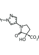 CC(C)n1cc(N2CC[C@@](O)(C(=O)O)C2=O)cn1